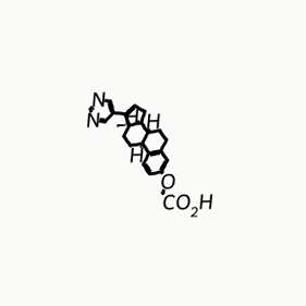 C[C@]12CC[C@@H]3c4ccc(OCC(=O)O)cc4CC[C@H]3[C@@H]1CC=C2c1cncnc1